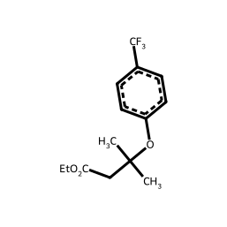 CCOC(=O)CC(C)(C)Oc1ccc(C(F)(F)F)cc1